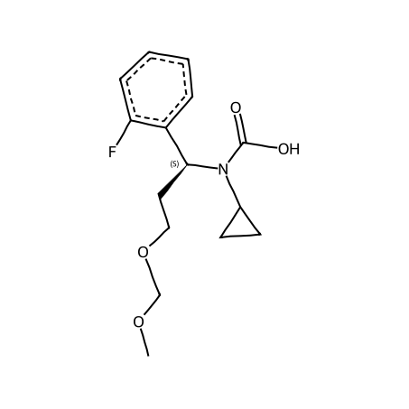 COCOCC[C@@H](c1ccccc1F)N(C(=O)O)C1CC1